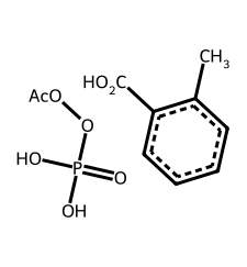 CC(=O)OOP(=O)(O)O.Cc1ccccc1C(=O)O